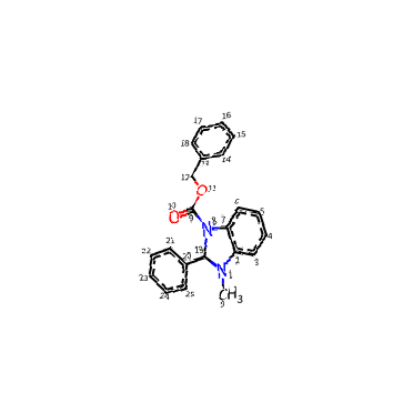 CN1c2ccccc2N(C(=O)OCc2ccccc2)C1c1ccccc1